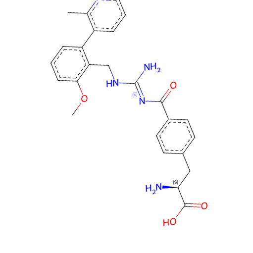 COc1cccc(-c2cccnc2C)c1CN/C(N)=N/C(=O)c1ccc(C[C@H](N)C(=O)O)cc1